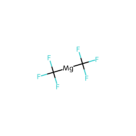 F[C](F)(F)[Mg][C](F)(F)F